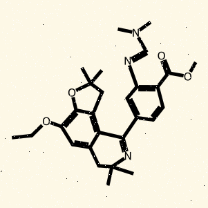 CCOc1cc2c(c3c1OC(C)(C)C3)C(c1ccc(C(=O)OC)c(/N=C/N(C)C)c1)=NC(C)(C)C2